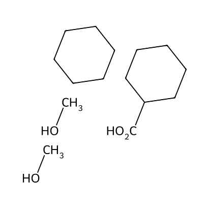 C1CCCCC1.CO.CO.O=C(O)C1CCCCC1